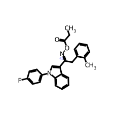 CCC(=O)O/N=C(\Cc1ccccc1C)c1cn(-c2ccc(F)cc2)c2ccccc12